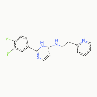 Fc1ccc(C2=NC=[C]C(NCCc3ccccn3)N2)cc1F